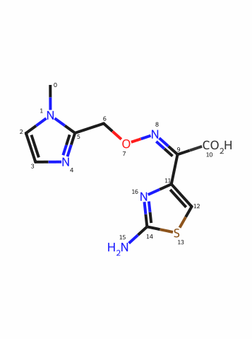 Cn1ccnc1CON=C(C(=O)O)c1csc(N)n1